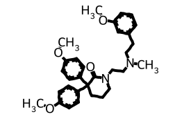 COc1ccc(C2(c3ccc(OC)cc3)CCCN(CCN(C)CCc3cccc(OC)c3)C2=O)cc1